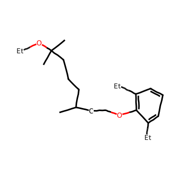 CCOC(C)(C)CCCC(C)CCOc1c(CC)cccc1CC